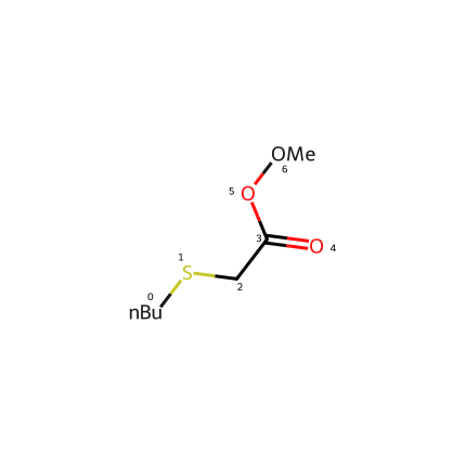 CCCCSCC(=O)OOC